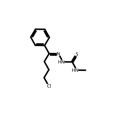 CNC(=S)NN=C(CCCCl)c1ccccc1